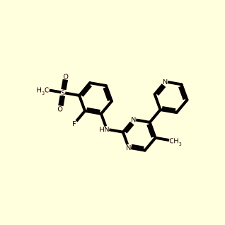 Cc1cnc(Nc2cccc(S(C)(=O)=O)c2F)nc1-c1cccnc1